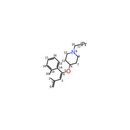 C=C(C)/C=C(/OC1CCN(CC(C)C)CC1)c1ccccc1C